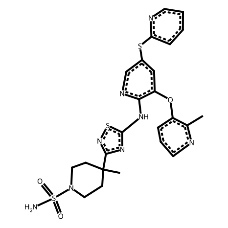 Cc1ncccc1Oc1cc(Sc2ccccn2)cnc1Nc1nc(C2(C)CCN(S(N)(=O)=O)CC2)ns1